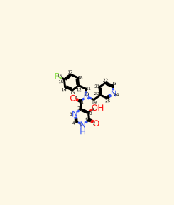 O=C(c1nc[nH]c(=O)c1O)N(Cc1ccc(F)cc1)Cc1cccnc1